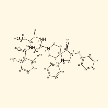 CC(NC(=O)N1CCC2(CC1)C(=O)N(Cc1ccccc1)CN2c1ccccc1)C(NC(=O)c1c(F)cccc1F)C(=O)O